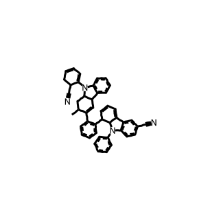 CC1CC2C(C=C1c1ccccc1C1C=CC=C3c4cc(C#N)ccc4N(c4ccccc4)C31)c1ccccc1N2C1=CC=CCC1C#N